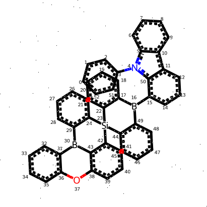 c1ccc(-n2c3ccccc3c3cccc(B4c5ccccc5[Si]5(c6ccccc6B6c7ccccc7Oc7cccc5c76)c5ccccc54)c32)cc1